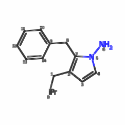 CC(C)Cc1ccn(N)c1Cc1ccccc1